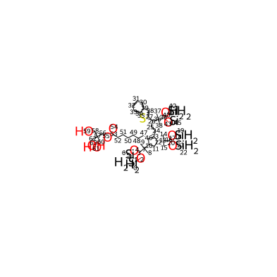 C[SiH2]OC(O[SiH2]C)C(C)(C)[C@@H]1C[C@@H](C(C)(C)C(O[SiH2]C)O[SiH2]C)[C@H](CC[C@@H](c2cc3ccccc3s2)C(C)(C)C(O[SiH2]C)O[SiH2]C)[C@H]1CCCCCCC(=O)OCC(CO)(CO)CO